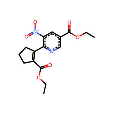 CCOC(=O)C1=C(c2ncc(C(=O)OCC)cc2[N+](=O)[O-])CCC1